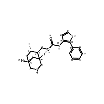 C[C@H]1C[C@H]2CNC[C@H](C2)[C@@H]1COC(=O)Nc1ccsc1-c1ccccc1